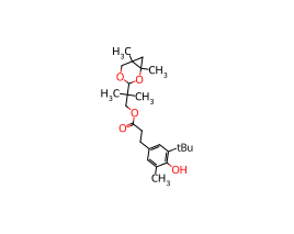 Cc1cc(CCC(=O)OCC(C)(C)C2OCC3(C)CC3(C)O2)cc(C(C)(C)C)c1O